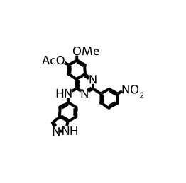 COc1cc2nc(-c3cccc([N+](=O)[O-])c3)nc(Nc3ccc4[nH]ncc4c3)c2cc1OC(C)=O